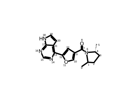 CC1CC[C@@H](C)N1C(=O)c1coc(-c2ncnc3[nH]ccc23)c1